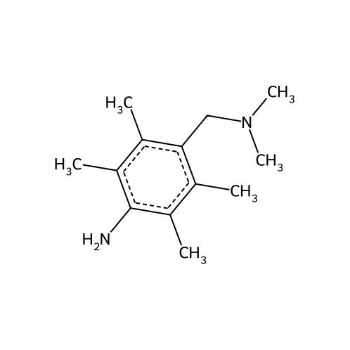 Cc1c(C)c(CN(C)C)c(C)c(C)c1N